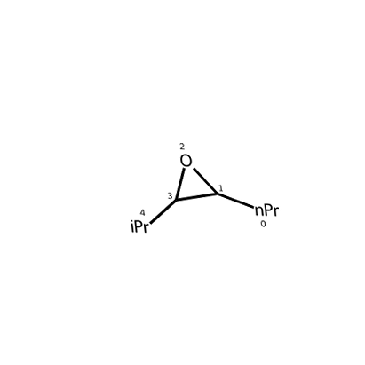 CCCC1OC1C(C)C